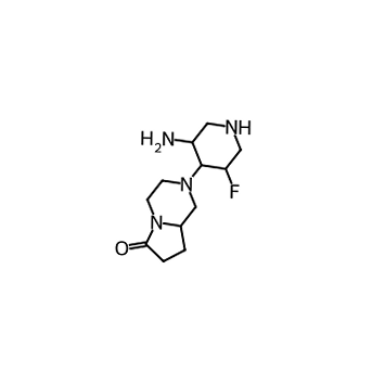 NC1CNCC(F)C1N1CCN2C(=O)CCC2C1